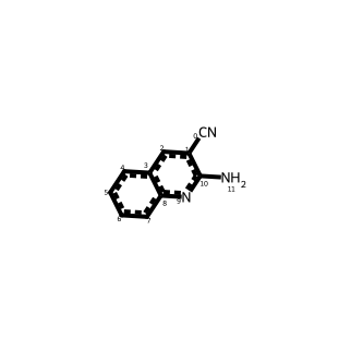 N#Cc1cc2ccccc2nc1N